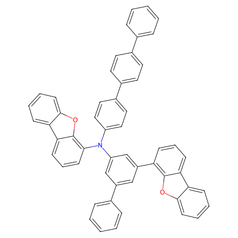 c1ccc(-c2ccc(-c3ccc(N(c4cc(-c5ccccc5)cc(-c5cccc6c5oc5ccccc56)c4)c4cccc5c4oc4ccccc45)cc3)cc2)cc1